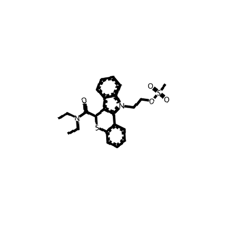 CCN(CC)C(=O)C1Sc2ccccc2-c2c1c1ccccc1n2CCOS(C)(=O)=O